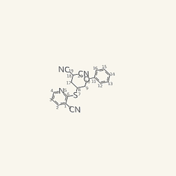 N#Cc1cccnc1SC(COc1ccccc1)CC(C#N)C#N